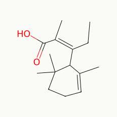 CCC(=C(C)C(=O)O)C1C(C)=CCCC1(C)C